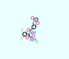 NC(=O)c1oc2c(F)cc(F)cc2c1NC(=O)c1cccc(CN2C(=O)CCC2=O)c1